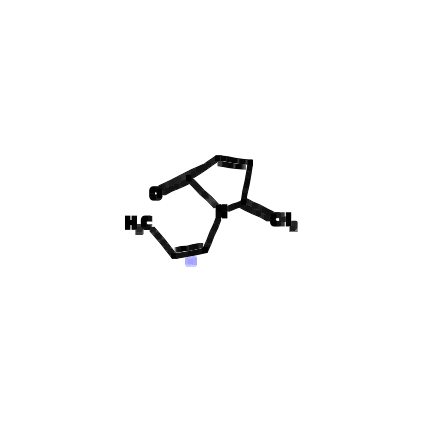 C=C1C=CC(=O)N1/C=C\C